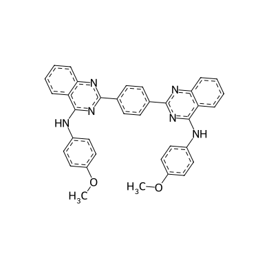 COc1ccc(Nc2nc(-c3ccc(-c4nc(Nc5ccc(OC)cc5)c5ccccc5n4)cc3)nc3ccccc23)cc1